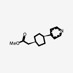 COC(=O)C[C@H]1CC[C@@H](c2ccncc2)CC1